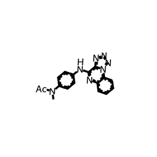 CC(=O)N(C)c1ccc(Nc2nc3ccccc3n3nnnc23)cc1